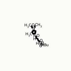 Cc1cc(N2CC(C)OC(C)C2)ccc1NC(=O)CCCC(=O)NS(=O)(=O)C(C)(C)C